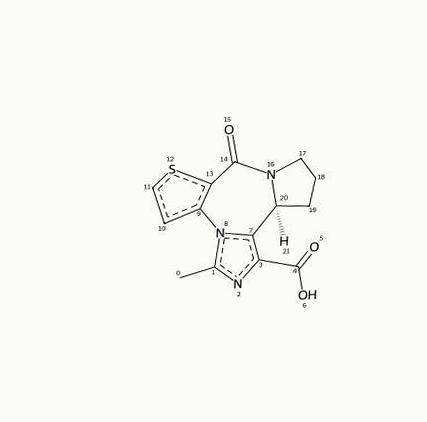 Cc1nc(C(=O)O)c2n1-c1ccsc1C(=O)N1CCC[C@@H]21